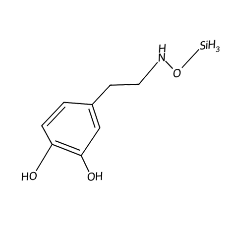 Oc1ccc(CCNO[SiH3])cc1O